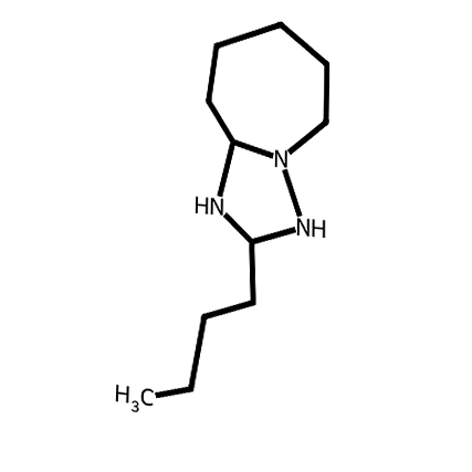 CCCCC1NC2CCCCCN2N1